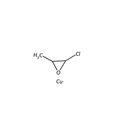 CC1OC1Cl.[Cu]